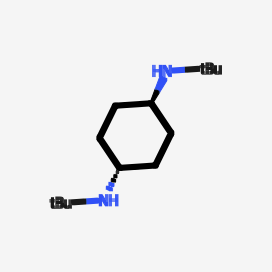 CC(C)(C)N[C@H]1CC[C@H](NC(C)(C)C)CC1